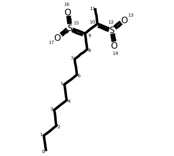 CCCCCCCCCC(C(C)=S(=O)=O)=S(=O)=O